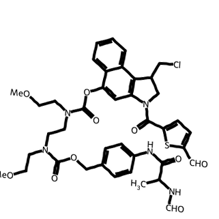 COCCN(CCN(CCOC)C(=O)Oc1cc2c(c3ccccc13)C(CCl)CN2C(=O)c1ccc(C=O)s1)C(=O)OCc1ccc(NC(=O)C(C)NC=O)cc1